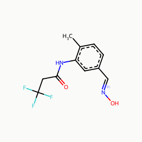 Cc1ccc(/C=N/O)cc1NC(=O)CC(F)(F)F